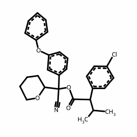 CC(C)C(C(=O)OC(C#N)(c1cccc(Oc2ccccc2)c1)C1CCCCO1)c1ccc(Cl)cc1